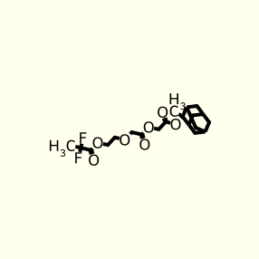 CC(F)(F)C(=O)OCCOCC(=O)OCC(=O)OC1(C)C2CC3CC(C2)CC1C3